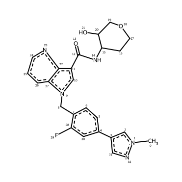 Cn1cc(-c2ccc(Cn3cc(C(=O)NC4CCOCC4O)c4ncccc43)c(F)c2)cn1